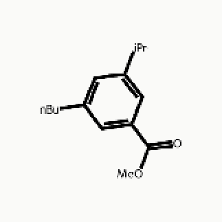 CCCCc1cc([C](C)C)cc(C(=O)OC)c1